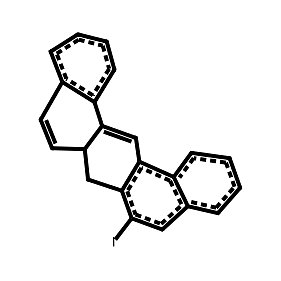 Ic1cc2ccccc2c2c1CC1C=Cc3ccccc3C1=C2